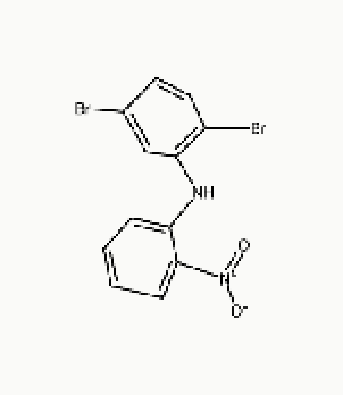 O=[N+]([O-])c1ccccc1Nc1cc(Br)ccc1Br